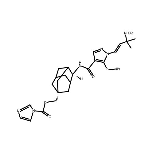 CC(=O)NC(C)(C)/C=C/n1ncc(C(=O)N[C@H]2C3CC4CC2C[C@](COC(=O)n2ccnc2)(C4)C3)c1SC(C)C